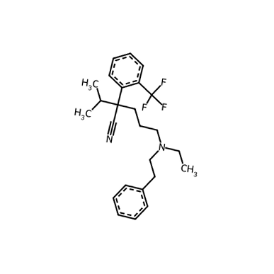 CCN(CCCC(C#N)(c1ccccc1C(F)(F)F)C(C)C)CCc1ccccc1